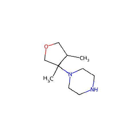 CC1COCC1(C)N1CCNCC1